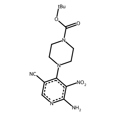 CC(C)(C)OC(=O)N1CCN(c2c(C#N)cnc(N)c2[N+](=O)[O-])CC1